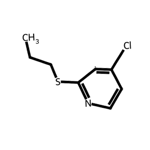 CCCSc1[c]c(Cl)ccn1